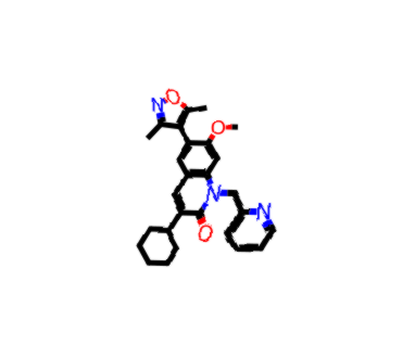 COc1cc2c(cc1-c1c(C)noc1C)cc(C1CCCCC1)c(=O)n2Cc1ccccn1